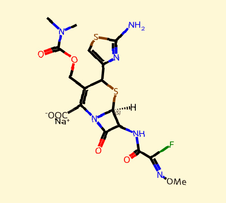 CON=C(F)C(=O)NC1C(=O)N2C(C(=O)[O-])=C(COC(=O)N(C)C)C(c3csc(N)n3)S[C@@H]12.[Na+]